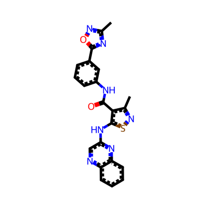 Cc1noc(-c2cccc(NC(=O)c3c(C)nsc3Nc3cnc4ccccc4n3)c2)n1